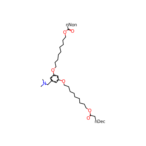 CCCCCCCCCCCC(=O)OCCCCCCCCCOc1cc(CN(C)C)cc(OCCCCCCCCCOC(=O)CCCCCCCCC)c1